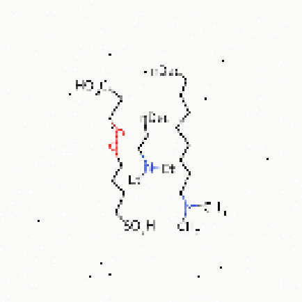 CCCCCCCCCCCCCCCCCCN(C)C.CCCCCCCCCCCCN(CC)CC.O=C(O)CCOOCCCCS(=O)(=O)O